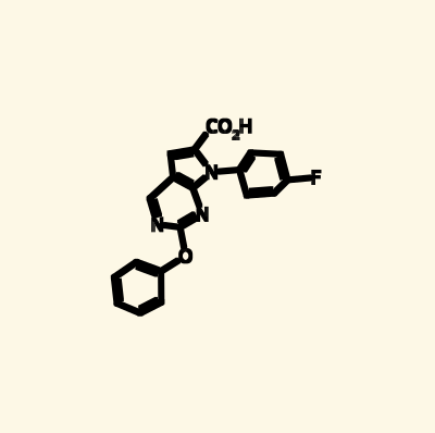 O=C(O)c1cc2cnc(Oc3ccccc3)nc2n1-c1ccc(F)cc1